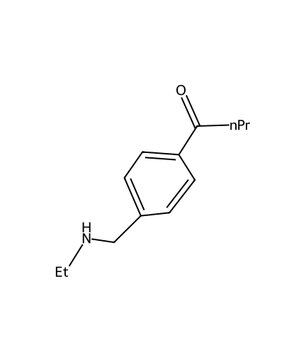 CCCC(=O)c1ccc(CNCC)cc1